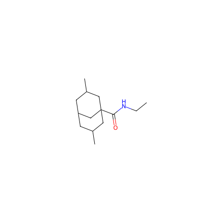 CCNC(=O)C12CC(C)CC(CC(C)C1)C2